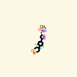 CS(=O)(=O)NC[C@H]1CC(c2cc(F)c(C3(F)CCS(=O)(=O)CC3)c(F)c2)=NO1